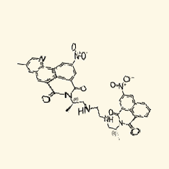 Cc1cnc2c(c1)cc1c3c(cc([N+](=O)[O-])cc32)C(=O)N([C@H](C)CNCCNC[C@@H](C)N2C(=O)c3cccc4cc([N+](=O)[O-])cc(c34)C2=O)C1=O